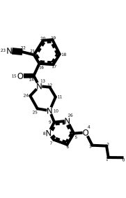 CCCCOc1ccnc(N2CCN(C(=O)c3ccccc3C#N)CC2)n1